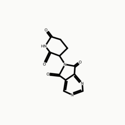 O=C1CCC(N2C(=O)c3cncnc3C2=O)C(=O)N1